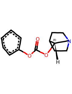 O=C(Oc1ccccc1)O[C@H]1CN2CCC1CC2